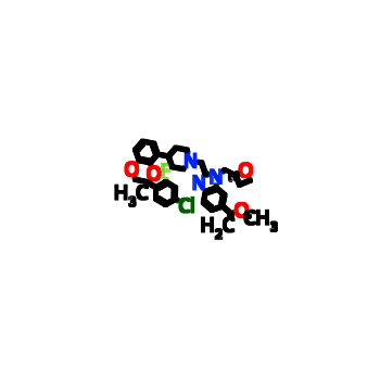 C=C(OC)c1ccc2nc(CN3CCC(c4cccc5c4OC(C)(c4ccc(Cl)cc4F)CO5)CC3)n(C[C@@H]3CCO3)c2c1